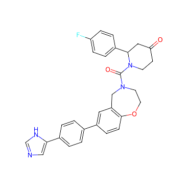 O=C1CCN(C(=O)N2CCOc3ccc(-c4ccc(-c5cnc[nH]5)cc4)cc3C2)C(c2ccc(F)cc2)C1